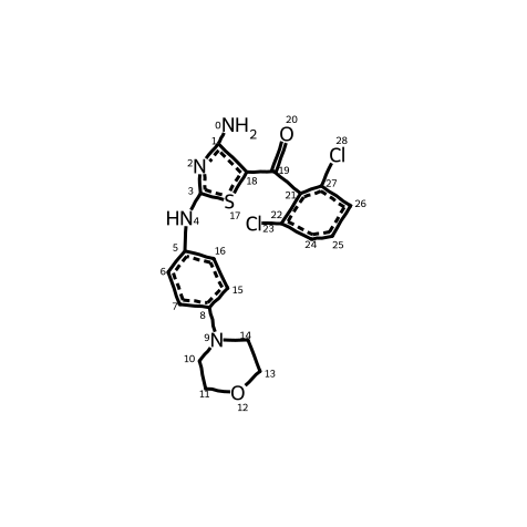 Nc1nc(Nc2ccc(N3CCOCC3)cc2)sc1C(=O)c1c(Cl)cccc1Cl